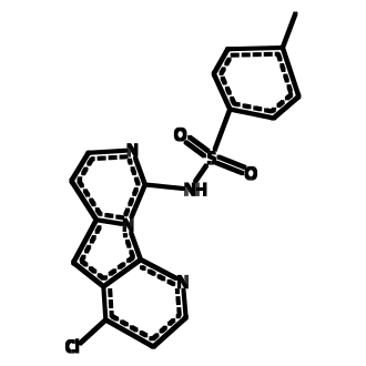 Cc1ccc(S(=O)(=O)Nc2nccc3cc4c(Cl)ccnc4n23)cc1